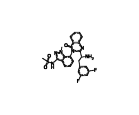 Cn1nc(NS(C)(=O)=O)c2cccc(-n3c(C(N)Cc4cc(F)cc(F)c4)nc4ccccc4c3=O)c21